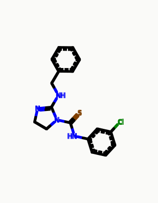 S=C(Nc1cccc(Cl)c1)N1CCN=C1NCc1ccccc1